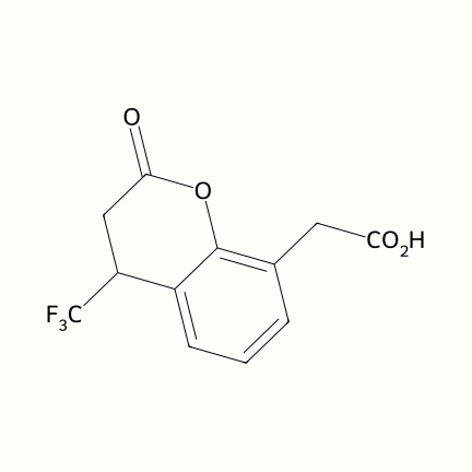 O=C(O)Cc1cccc2c1OC(=O)CC2C(F)(F)F